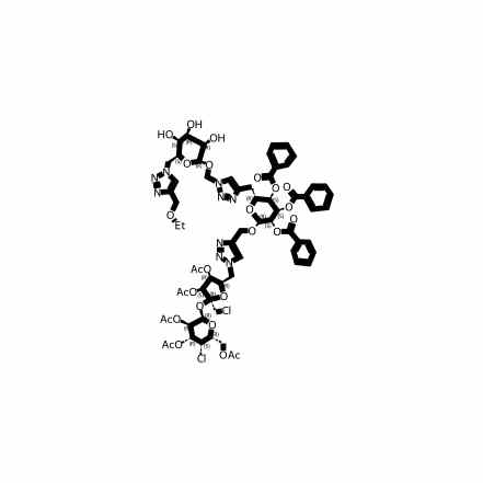 CCOCc1cn(C[C@@H]2O[C@H](OCn3cc(C[C@H]4O[C@@H](OCc5cn(C[C@H]6O[C@@](CCl)(O[C@H]7O[C@H](COC(C)=O)[C@H](Cl)[C@H](OC(C)=O)[C@H]7OC(C)=O)[C@@H](OC(C)=O)[C@@H]6OC(C)=O)nn5)[C@@H](OC(=O)c5ccccc5)[C@@H](OC(=O)c5ccccc5)[C@H]4OC(=O)c4ccccc4)nn3)[C@H](O)[C@H](O)[C@@H]2O)nn1